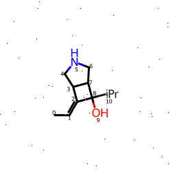 C/C=C1\C2CNCC2C1(O)C(C)C